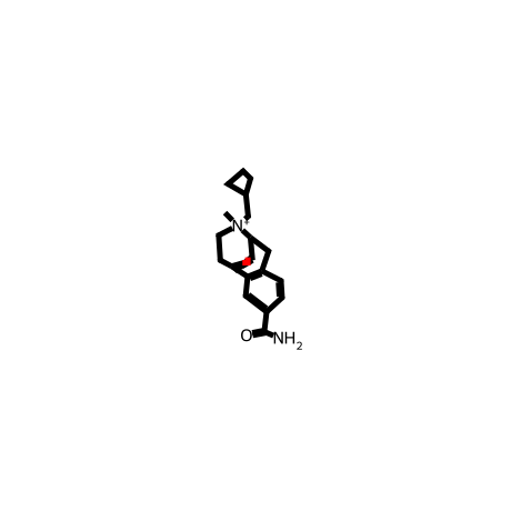 C[N+]1(CC2CCC2)CCC23CCCCC2C1Cc1ccc(C(N)=O)cc13